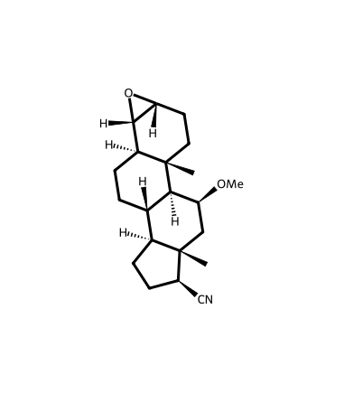 CO[C@H]1C[C@]2(C)[C@@H](C#N)CC[C@H]2[C@@H]2CC[C@H]3[C@@H]4O[C@@H]4CC[C@]3(C)[C@H]21